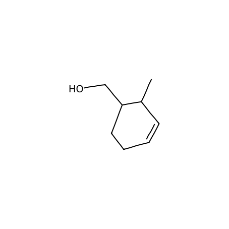 CC1C=CCCC1CO